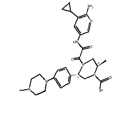 CC(C)C(=O)N1C[C@H](c2ccc(N3CCN(C)CC3)cc2)N(C(=O)C(=O)Nc2cnc(N)c(C3CC3)c2)C[C@H]1C